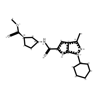 COC(=O)[C@@H]1CC[C@@H](NC(=O)c2cc3c(C)nn(C4CCCCC4)c3s2)C1